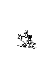 COc1ccncc1-c1cc2c(cnn2-c2cc3c(c(N4CC[C@H](O)C4)n2)N(C)C(O)N3C)c(C)n1